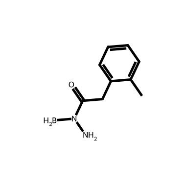 BN(N)C(=O)Cc1ccccc1C